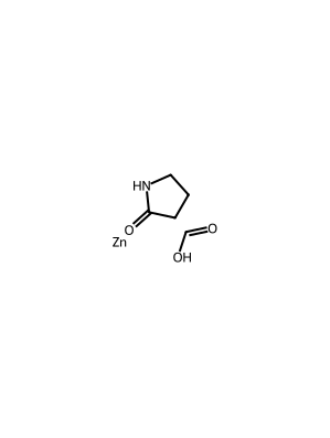 O=C1CCCN1.O=CO.[Zn]